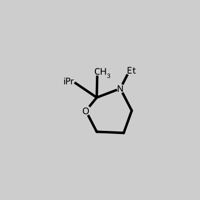 CCN1CCCOC1(C)C(C)C